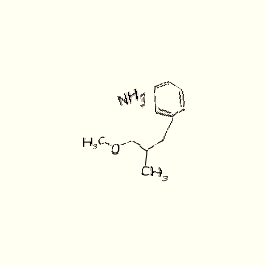 COCC(C)Cc1ccccc1.N